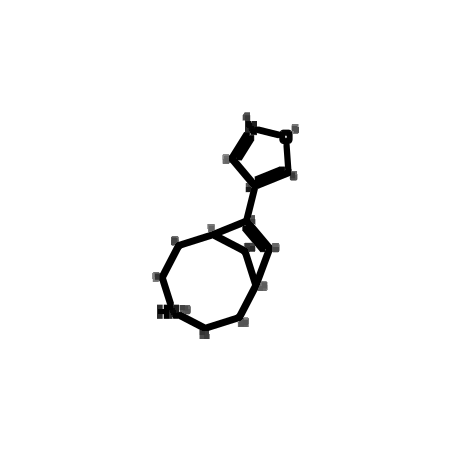 C1=C(c2cnoc2)C2CCNCCC1C2